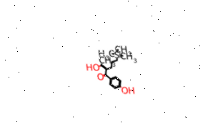 C/C(O)=C(\CCC[Si](C)(C)C)C(=O)c1ccc(O)cc1